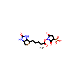 O=C1NC2CSC(CCCCC(=O)ON3C(=O)CC(S(=O)(=O)[O-])C3=O)C2N1.[Na+]